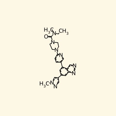 CCN(C)C(=O)N1CCN(c2ccc(-c3cc(-c4cnn(C)c4)cc4ncncc34)cn2)CC1